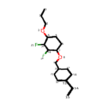 CCCOC1CCC(OCC2CCC(CC)CC2)C(F)C1F